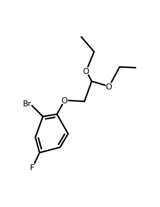 CCOC(COc1ccc(F)cc1Br)OCC